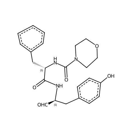 O=C[C@H](Cc1ccc(O)cc1)NC(=O)[C@H](Cc1ccccc1)NC(=O)N1CCOCC1